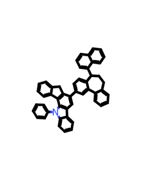 c1ccc(-n2c3ccccc3c3cc(-c4ccc5c(c4)-c4ccccc4CCC5c4cccc5ccccc45)c4c(c32)-c2ccccc2C4)cc1